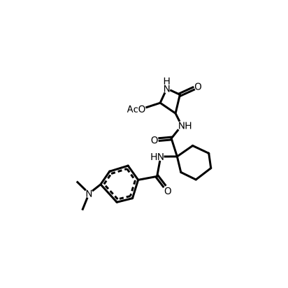 CC(=O)OC1NC(=O)C1NC(=O)C1(NC(=O)c2ccc(N(C)C)cc2)CCCCC1